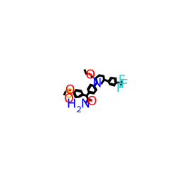 CCOC[C@@H]1CCC(c2ccc(C(F)(F)F)cc2)CN1c1ccc(C(C(N)=O)c2ccc(S(=O)(=O)CC)cc2)cc1